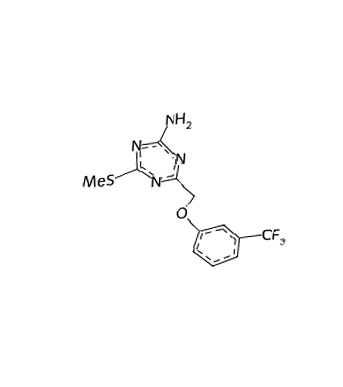 CSc1nc(N)nc(COc2cccc(C(F)(F)F)c2)n1